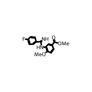 COC(=O)c1ccc(OC)c(NC(=N)c2ccc(F)cc2)c1